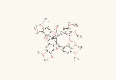 COc1cc2c(cc1OC)C1C(=O)c3c4cc(OC)c(OC)c3Oc3c(OC)c(OC)cc5c3C(=O)C3c6cc(OC)c(OC)cc6C(=O)C5C13C4C2=O